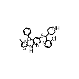 Cc1csc(Nc2ncc(SC(c3ncccc3Cl)C3CCNCC3)cc2Oc2ccccc2)n1